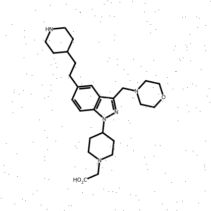 O=C(O)CN1CCC(n2nc(CN3CCOCC3)c3cc(CCC4CCNCC4)ccc32)CC1